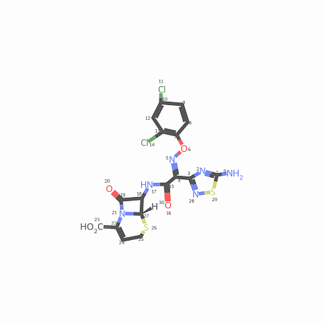 Nc1nc(C(=NOc2ccc(Cl)cc2Cl)C(=O)NC2C(=O)N3C(C(=O)O)=CCS[C@@H]23)ns1